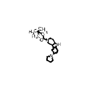 CC(C)(C)OC(=O)N1CCc2[nH]c3ccc(N4CCCC4)cc3c2C1